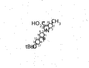 Cc1ccc2nc(-c3ccc(-c4ccc(OC(C)(C)C)cc4)c(F)c3)cc(C(=O)O)c2c1